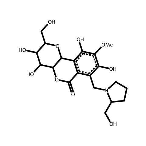 COc1c(O)c(CN2CCCC2CO)c2c(c1O)C1OC(CO)C(O)C(O)C1OC2=O